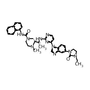 CCN1CCN(c2ccc3c(c2)ncn3-c2ccnc(N[C@H](C)[C@H]3CN(C(=O)Nc4cccc5ccccc45)CCN3C)n2)C1=O